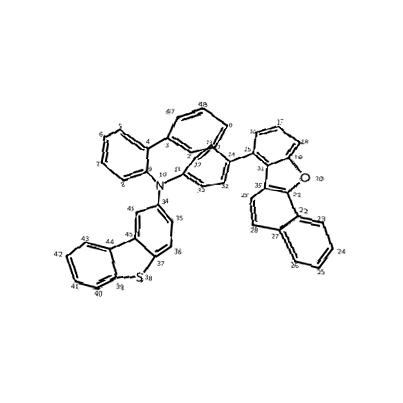 c1ccc(-c2ccccc2N(c2ccc(-c3cccc4oc5c6ccccc6ccc5c34)cc2)c2ccc3sc4ccccc4c3c2)cc1